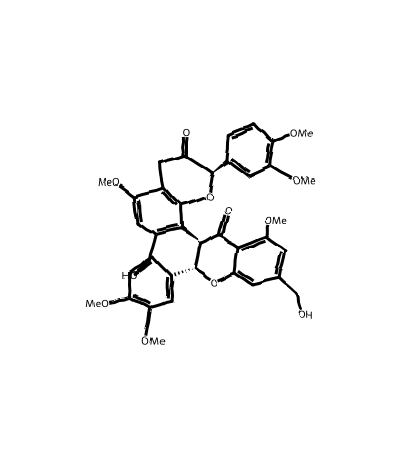 COc1ccc([C@H]2Oc3cc(CO)cc(OC)c3C(=O)[C@@H]2c2c(CO)cc(OC)c3c2O[C@H](c2ccc(OC)c(OC)c2)C(=O)C3)cc1OC